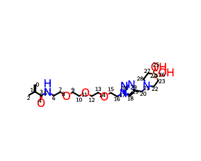 C=C(C)C(=O)NCCOCCOCCOCCn1cc(CN2CCS(O)(O)CC2)nn1